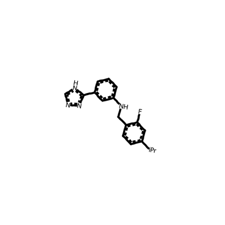 CC(C)c1ccc(CNc2cccc(-c3nnc[nH]3)c2)c(F)c1